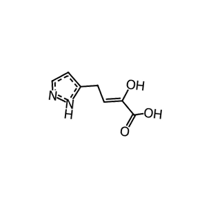 O=C(O)C(O)=CCc1ccn[nH]1